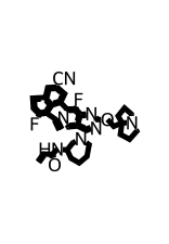 C#Cc1c(F)ccc2cc(C#N)cc(-c3ncc4c(N5CCCCC(NC(=O)C=C)C5)nc(OCC56CCCN5CCC6)nc4c3F)c12